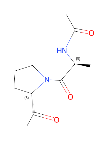 CC(=O)N[C@@H](C)C(=O)N1CCC[C@H]1C(C)=O